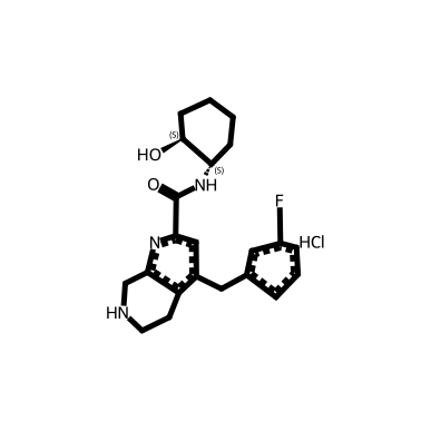 Cl.O=C(N[C@H]1CCCC[C@@H]1O)c1cc(Cc2cccc(F)c2)c2c(n1)CNCC2